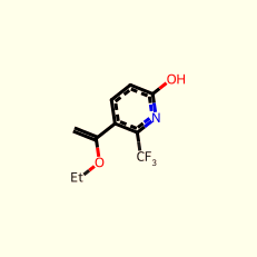 C=C(OCC)c1ccc(O)nc1C(F)(F)F